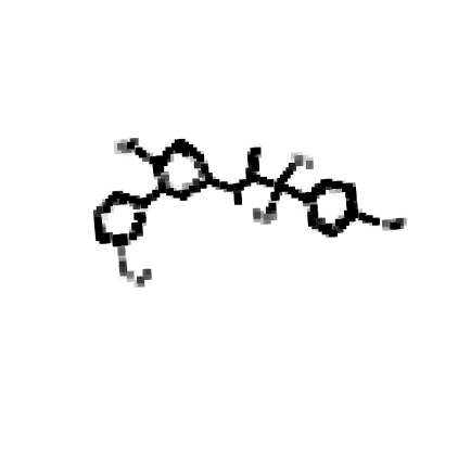 COc1ccc(C(C)(C)C(=O)Nc2ccc(C)c(-c3cccc(C(=O)O)c3)n2)cc1